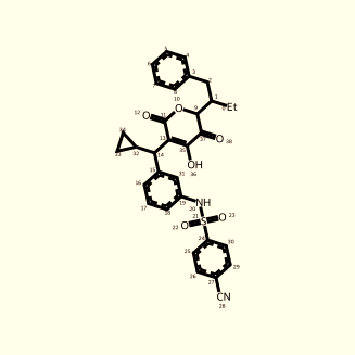 CCC(Cc1ccccc1)C1OC(=O)C(C(c2cccc(NS(=O)(=O)c3ccc(C#N)cc3)c2)C2CC2)=C(O)C1=O